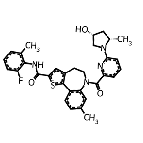 Cc1ccc2c(c1)N(C(=O)c1cccc(N3C[C@H](O)C[C@@H]3C)n1)CCc1cc(C(=O)Nc3c(C)cccc3F)sc1-2